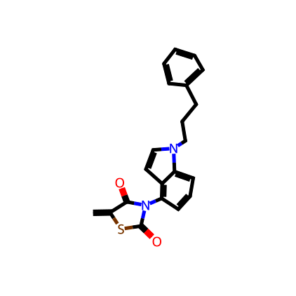 C=C1SC(=O)N(c2cccc3c2ccn3CCCc2ccccc2)C1=O